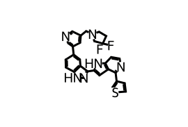 FC1(F)CCN(Cc2cncc(-c3ccc4[nH]nc(-c5cc6c(-c7ccsc7)nccc6[nH]5)c4c3)c2)C1